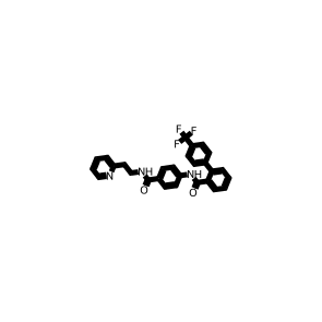 O=C(NCCc1ccccn1)c1ccc(NC(=O)c2ccccc2-c2ccc(C(F)(F)F)cc2)cc1